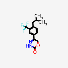 CC(C)Cc1ccc(C2=NNC(=O)OC2)cc1C(F)(F)F